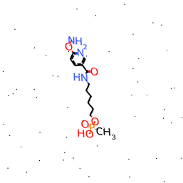 CP(=O)(O)OCCCCCCNC(=O)c1ccc(ON)nc1